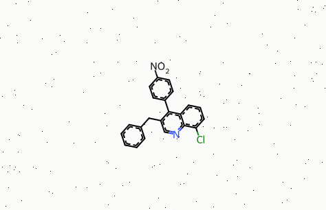 O=[N+]([O-])c1ccc(-c2c(Cc3ccccc3)cnc3c(Cl)cccc23)cc1